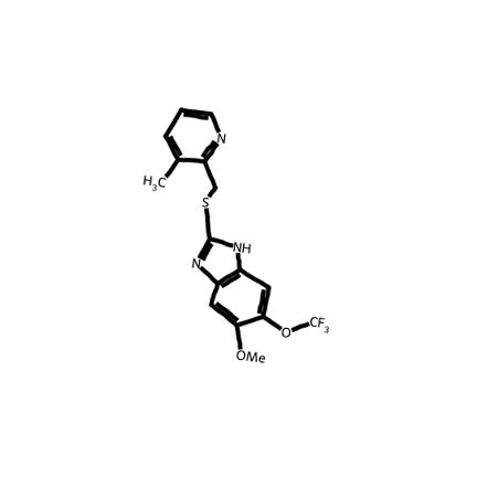 COc1cc2nc(SCc3ncccc3C)[nH]c2cc1OC(F)(F)F